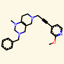 COc1cc(C#CCN2CCC3=C(C2)CN(Cc2ccccc2)CN3C)ccn1